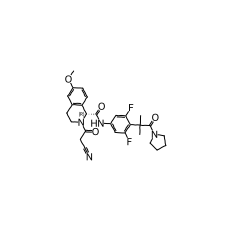 COc1ccc2c(c1)CCN(C(=O)CC#N)[C@H]2C(=O)Nc1cc(F)c(C(C)(C)C(=O)N2CCCC2)c(F)c1